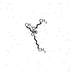 CCCCCCCOP(=O)(CCCC)OCCCC